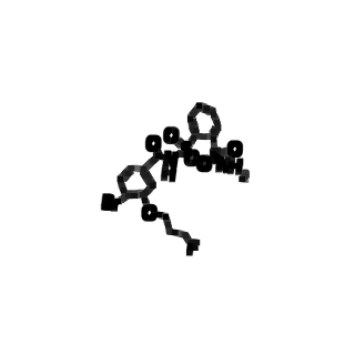 NS(=O)(=O)c1ccccc1S(=O)(=O)NC(=O)c1ccc(Br)c(OCCCF)c1